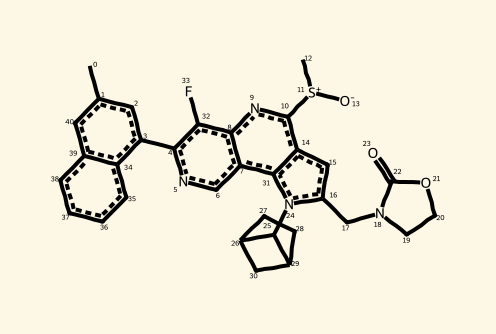 Cc1cc(-c2ncc3c(nc([S+](C)[O-])c4cc(CN5CCOC5=O)n(C5C6CCC5C6)c43)c2F)c2ccccc2c1